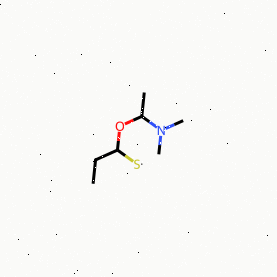 CCC([S])OC(C)N(C)C